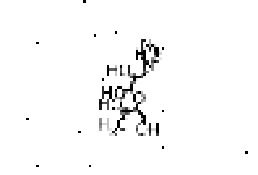 C[C@@H](O)C(CO)OC(O)[C@@H](O)Cn1ccnn1